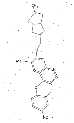 COc1cc2c(Oc3ccc(N=O)cc3F)ccnc2cc1OCC1CC2CN(C)CC2C1